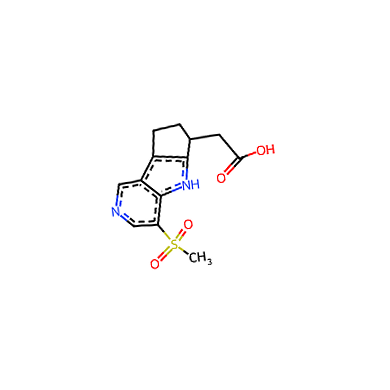 CS(=O)(=O)c1cncc2c3c([nH]c12)C(CC(=O)O)CC3